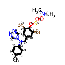 CN(C)OOSOc1c(Br)cc(CN(c2ccc(C#N)cc2)n2cnnc2)cc1Br